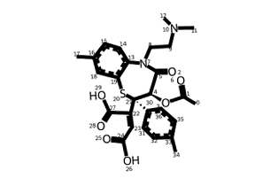 CC(=O)O[C@@H]1C(=O)N(CCN(C)C)c2ccc(C)cc2S[C@@]1(/C(=C/C(=O)O)C(=O)O)c1ccc(C)cc1